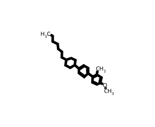 CCCCCCCC1CCC(c2ccc(-c3ccc(OC)cc3C)cc2)CC1